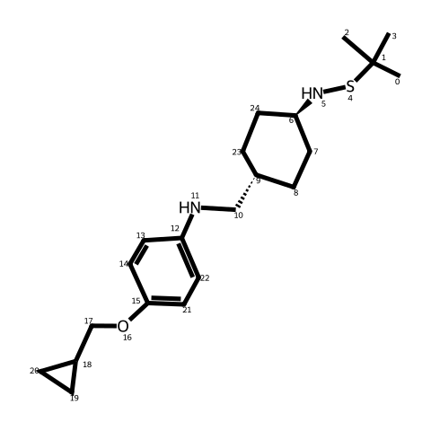 CC(C)(C)SN[C@H]1CC[C@H](CNc2ccc(OCC3CC3)cc2)CC1